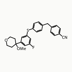 COC1(c2cc(F)cc(Sc3ccc(Cc4ccc(C#N)cc4)cc3)c2)CCOCC1